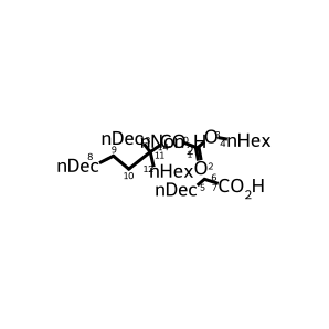 CCCCCCCCCC(=O)OCCCCCC.CCCCCCCCCCCC(=O)O.CCCCCCCCCCCCC(CCCCCC)(CCCCCCCCCC)C(=O)O